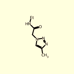 CCNC(=O)Cn1cc(C)nn1